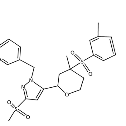 Cc1cccc(S(=O)(=O)C2(C)CCOC(c3cc(S(C)(=O)=O)nn3Cc3ccccc3)C2)c1